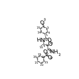 COc1ccc(C(=O)NC(C)C(=O)C(N)OC(=O)c2ccccc2)cc1